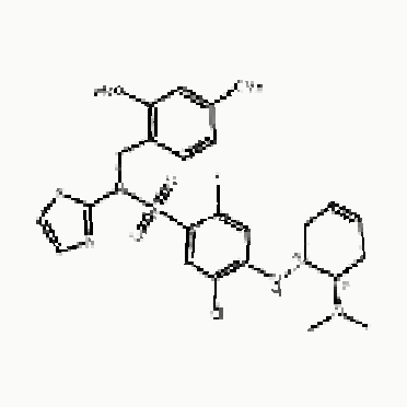 COc1ccc(CN(c2nccs2)S(=O)(=O)c2cc(Cl)c(N[C@@H]3CC=CC[C@H]3N(C)C)cc2F)c(OC)c1